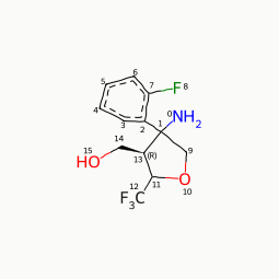 NC1(c2ccccc2F)COC(C(F)(F)F)[C@H]1CO